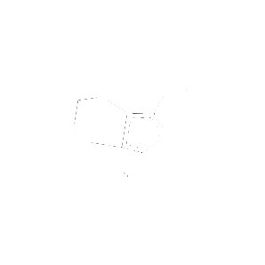 O=C([O-])c1scc2c1OCCO2.[Na+]